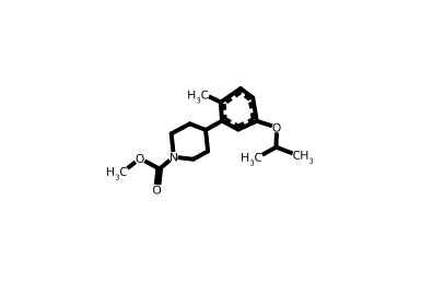 COC(=O)N1CCC(c2cc(OC(C)C)ccc2C)CC1